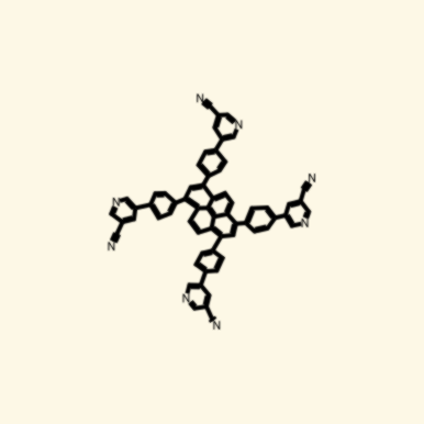 N#Cc1cncc(-c2ccc(-c3cc(-c4ccc(-c5cncc(C#N)c5)cc4)c4ccc5c(-c6ccc(-c7cncc(C#N)c7)cc6)cc(-c6ccc(-c7cncc(C#N)c7)cc6)c6ccc3c4c65)cc2)c1